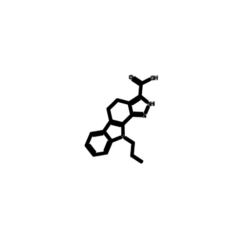 CCCn1c2c(c3ccccc31)CCc1c-2n[nH]c1C(=O)O